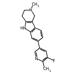 Cc1ncc(-c2ccc3c4c([nH]c3c2)CCN(C)C4)cc1F